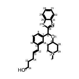 CN1CCC(OC(c2cccc(C=CCCCO)c2)c2nc3ccccc3s2)CC1